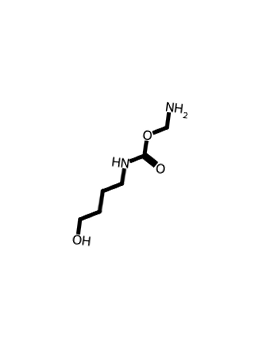 NCOC(=O)NCCCCO